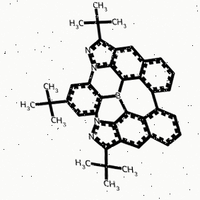 CC(C)(C)c1cc2c3c(c1)-n1nc(C(C)(C)C)c4cc5cccc6c5c(c41)B3c1c3c-6cccc3cc3c(C(C)(C)C)nn-2c13